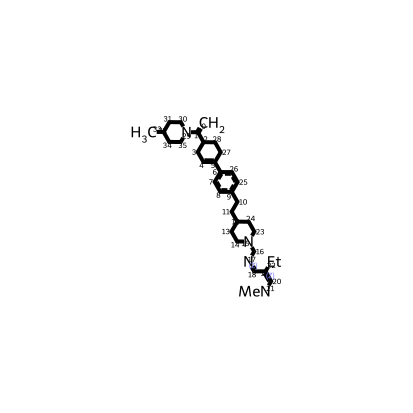 C=C(C1CC=C(c2ccc(CCC3CCN(C/N=C\C(=C/NC)CC)CC3)cc2)CC1)N1CCC(C)CC1